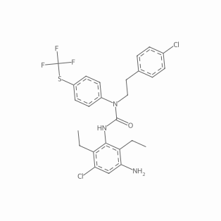 CCc1c(N)cc(Cl)c(CC)c1NC(=O)N(CCc1ccc(Cl)cc1)c1ccc(SC(F)(F)F)cc1